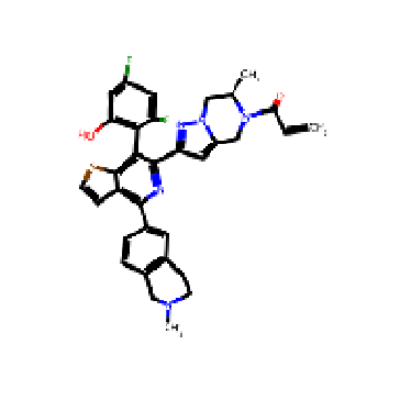 C=CC(=O)N1Cc2cc(-c3nc(-c4ccc5c(c4)CCN(C)C5)c4ccsc4c3-c3c(O)cc(F)cc3F)nn2C[C@H]1C